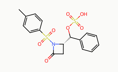 Cc1ccc(S(=O)(=O)N2C(=O)C[C@H]2C(OS(=O)(=O)O)c2ccccc2)cc1